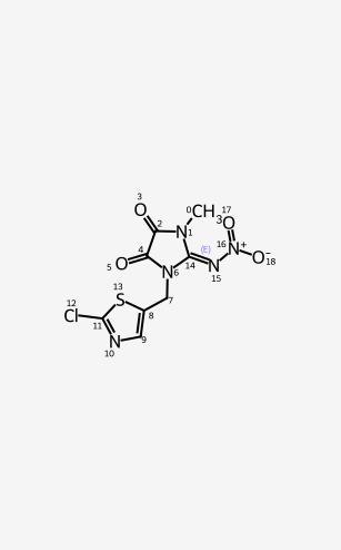 CN1C(=O)C(=O)N(Cc2cnc(Cl)s2)/C1=N/[N+](=O)[O-]